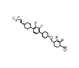 C/C=C/C1CCC(c2ccc(C3CCC(OCC4CCC(C5CO5)C(F)=C4F)CC3)c(F)c2F)CC1